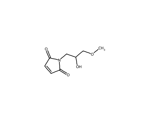 COCC(O)CN1C(=O)C=CC1=O